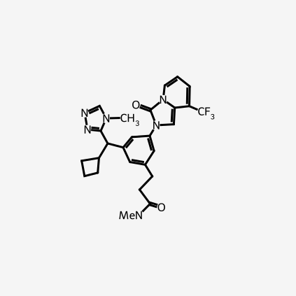 CNC(=O)CCc1cc(C(c2nncn2C)C2CCC2)cc(-n2cc3c(C(F)(F)F)cccn3c2=O)c1